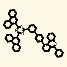 c1ccc(-c2nc3ccccc3c3c(-c4ccc(-c5cccc(-c6nc(-c7cc8ccccc8c8ccccc78)nc(-c7cc8ccccc8c8ccccc78)n6)c5)cc4)cccc23)cc1